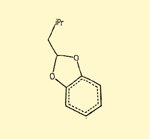 CC(C)CC1Oc2c[c]ccc2O1